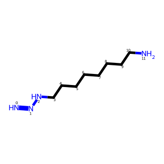 N=NNCCCCCCCCN